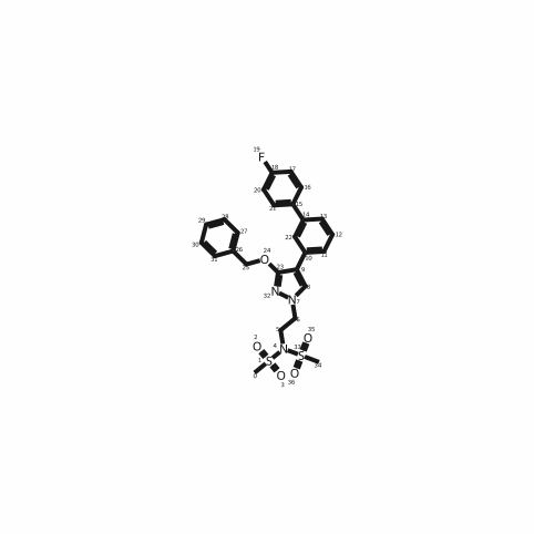 CS(=O)(=O)N(CCn1cc(-c2cccc(-c3ccc(F)cc3)c2)c(OCc2ccccc2)n1)S(C)(=O)=O